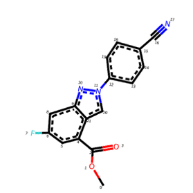 COC(=O)c1cc(F)cc2nn(-c3ccc(C#N)cc3)cc12